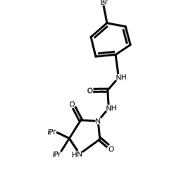 CC(C)C1(C(C)C)NC(=O)N(NC(=O)Nc2ccc(Br)cc2)C1=O